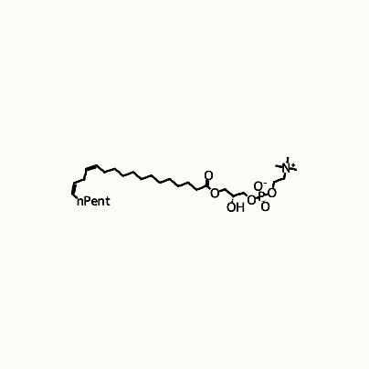 CCCCC/C=C\C/C=C\CCCCCCCCCCCC(=O)OC[C@@H](O)COP(=O)([O-])OCC[N+](C)(C)C